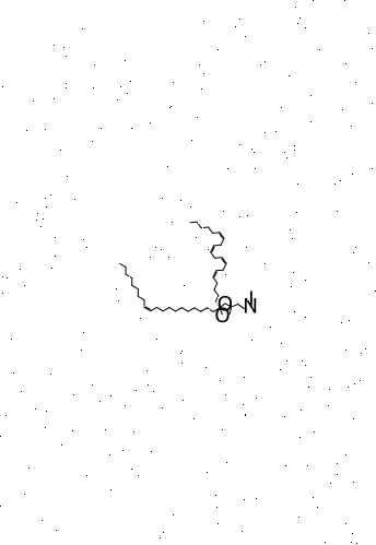 CCCCC/C=C\C/C=C\C/C=C\C/C=C\CCCC[C@@]1(CCCCCCCCCC/C=C\CCCCCCCC)OCC(CCN(C)I)O1